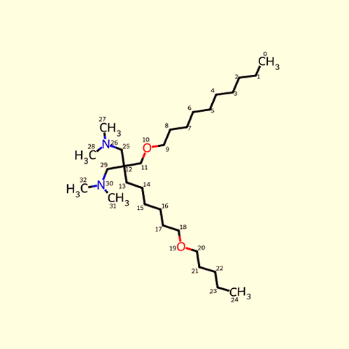 CCCCCCCCCCOCC(CCCCCCOCCCCC)(CN(C)C)CN(C)C